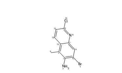 Cc1c(N)c(Br)cc2nc(Cl)ccc12